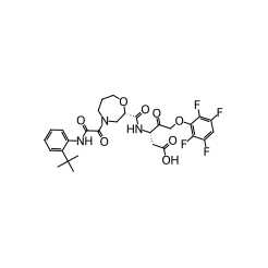 CC(C)(C)c1ccccc1NC(=O)C(=O)N1CCCO[C@H](C(=O)N[C@@H](CC(=O)O)C(=O)COc2c(F)c(F)cc(F)c2F)C1